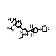 CCc1nc(-c2cnc(N)c(OC(F)F)c2)cc(C2[C@H]3CC(N4CCOCC4)C[C@@H]23)n1